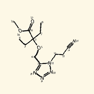 CCC(CC)(OCc1nnnn1CCC#N)C(=O)OC